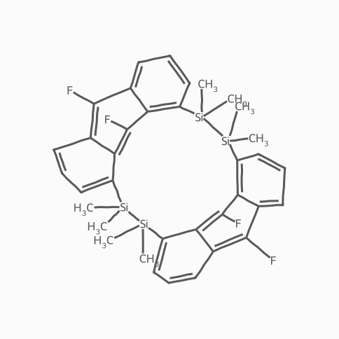 C[Si]1(C)c2cccc3c(F)c4cccc(c4c(F)c23)[Si](C)(C)[Si](C)(C)c2cccc3c(F)c4cccc(c4c(F)c23)[Si]1(C)C